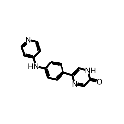 O=c1cnc(-c2ccc(Nc3ccncc3)cc2)c[nH]1